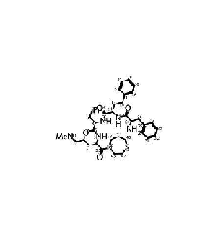 CNCCC[C@@H](NC(=O)[C@@H](CC(C)C)NC(=O)[C@@H](CCc1ccccc1)NC(=O)[C@H](N)Cc1ccccc1)C(=O)N1CCCSCC1